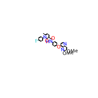 COc1cc2nccc(Oc3ccc(NC(=O)c4ccc(C)n(-c5ccc(F)cc5)c4=O)cc3)c2nc1OC